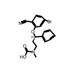 CN(CC[C@@H](Oc1cc(Br)ccc1C#N)c1ccccc1)C(=O)O